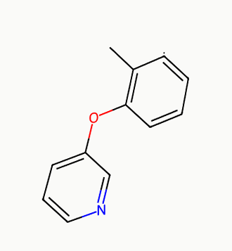 Cc1[c]cccc1Oc1cccnc1